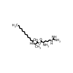 CCCCCCCCCCCC(=O)N[C@@H](C)C(=O)OC(=O)[C@@H](N)CCCNC(=N)N